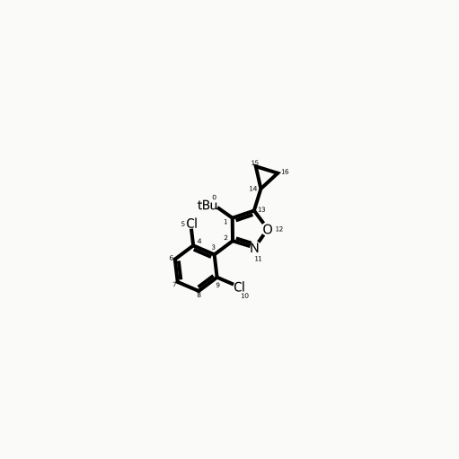 CC(C)(C)c1c(-c2c(Cl)cccc2Cl)noc1C1CC1